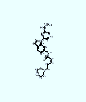 CC(C)(C)Nc1cncc(-n2cnc3ccc(NC(=O)/C=C\CCN4CCOCC4)cc32)n1